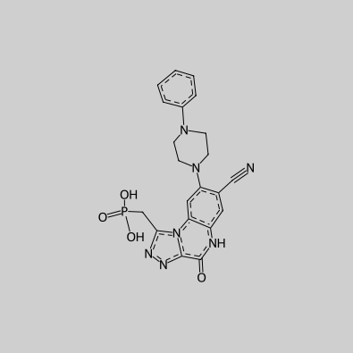 N#Cc1cc2[nH]c(=O)c3nnc(CP(=O)(O)O)n3c2cc1N1CCN(c2ccccc2)CC1